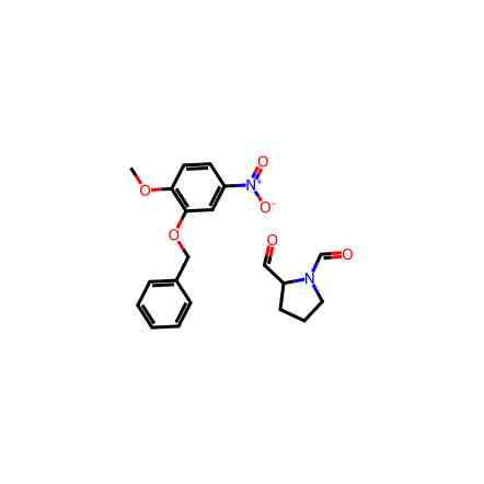 COc1ccc([N+](=O)[O-])cc1OCc1ccccc1.O=CC1CCCN1C=O